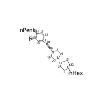 CCCCCC[C@H]1CC[C@H](C2CCC(C#Cc3ccc(CCCCC)c(F)c3)CC2)CC1